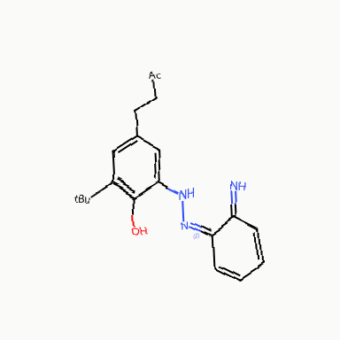 CC(=O)CCc1cc(N/N=C2/C=CC=CC2=N)c(O)c(C(C)(C)C)c1